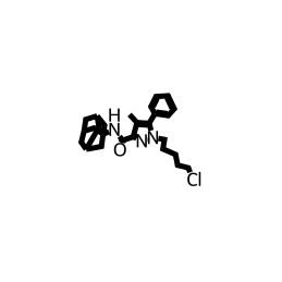 Cc1c(C(=O)NC23CC4CC(CC(C4)C2)C3)nn(CCCCCCl)c1-c1ccccc1